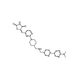 CN(C)c1ncc(-c2ccc(CNCC3CCN(c4nccc(C=C5SC(=O)NC5=O)n4)CC3)cn2)cn1